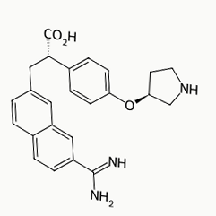 N=C(N)c1ccc2ccc(C[C@H](C(=O)O)c3ccc(O[C@H]4CCNC4)cc3)cc2c1